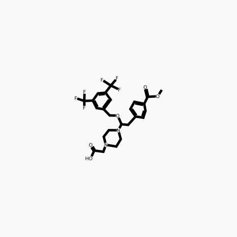 COC(=O)c1ccc(CC(OCc2cc(C(F)(F)F)cc(C(F)(F)F)c2)N2CCN(CC(=O)O)CC2)cc1